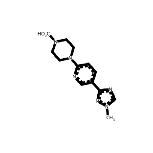 Cn1cnc(-c2ccc(N3CCN(C(=O)O)CC3)nc2)n1